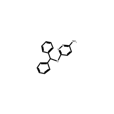 Nc1ccc(OC(c2ccccc2)c2ccccc2)nn1